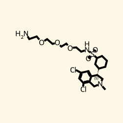 CN1Cc2c(Cl)cc(Cl)cc2[C@H](C2CCCC(S(=O)(=O)NCCOCCOCCOCCN)C2)C1